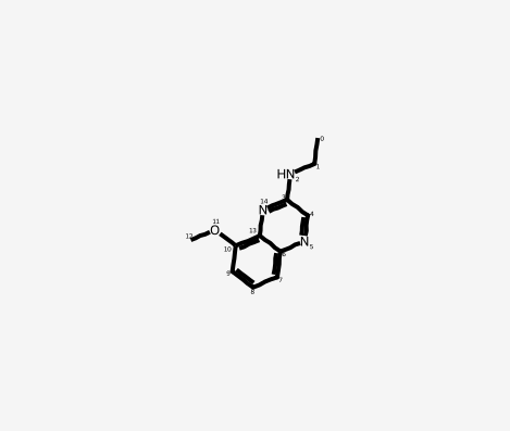 CCNc1cnc2cccc(OC)c2n1